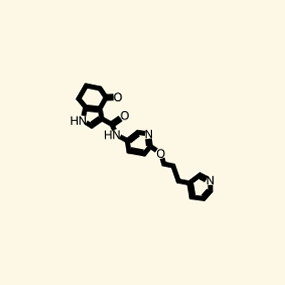 O=C(Nc1ccc(OCCCc2cccnc2)nc1)c1c[nH]c2c1C(=O)CCC2